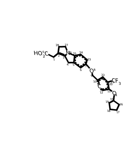 O=C(O)CC1=C2Cc3cc(OCc4ccc(OC5CCCC5)c(C(F)(F)F)c4)ccc3N2CC1